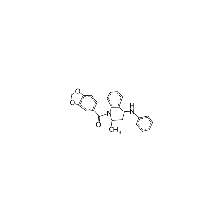 CC1CC(Nc2ccccc2)c2ccccc2N1C(=O)c1ccc2c(c1)OCO2